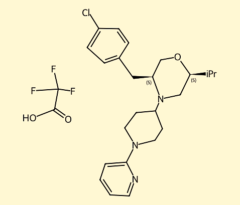 CC(C)[C@H]1CN(C2CCN(c3ccccn3)CC2)[C@@H](Cc2ccc(Cl)cc2)CO1.O=C(O)C(F)(F)F